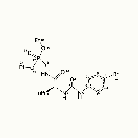 CCC[C@H](NC(=O)Nc1ccc(Br)cc1)C(=O)NCP(=O)(OCC)OCC